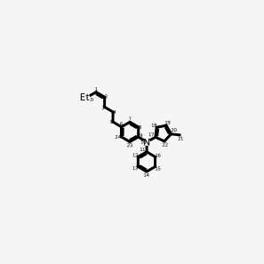 CC/C=C\CCCc1ccc(N(C2=CC=CCC2)C2=CC=C(C)C2)cc1